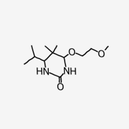 COCCOC1NC(=O)NC(C(C)C)C1(C)C